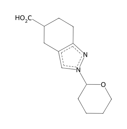 O=C(O)C1CCc2nn(C3CCCCO3)cc2C1